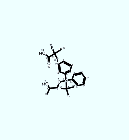 CC(O)CO[Si](c1ccccc1)(c1ccccc1)C(C)(C)C.O=C(O)C(F)(F)F